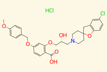 COc1ccc(COc2ccc(C(=O)O)c(OC[C@H](O)CN3CCC4(CC3)Cc3cc(Cl)ccc3O4)c2)cc1.Cl